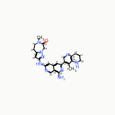 Cc1c(-c2cc3cc(Nc4cc5n(n4)CC(=O)N(C)CC5)ncc3c(N)n2)cnc2c1NCCC2